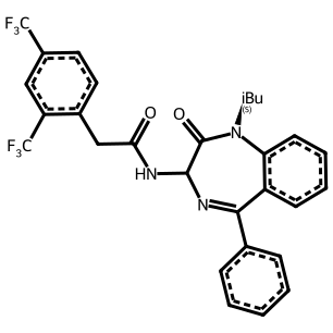 CC[C@H](C)N1C(=O)C(NC(=O)Cc2ccc(C(F)(F)F)cc2C(F)(F)F)N=C(c2ccccc2)c2ccccc21